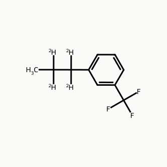 [2H]C([2H])(C)C([2H])([2H])c1cccc(C(F)(F)F)c1